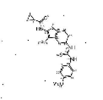 CCCc1c(NC(=O)C2CC2)sc2c1CC(NC(=S)Nc1ccc(OC)cc1)CC2